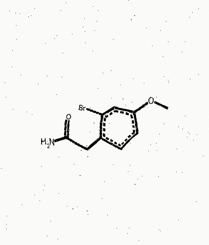 COc1ccc(CC(N)=O)c(Br)c1